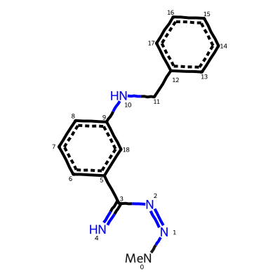 CN/N=N\C(=N)c1cccc(NCc2ccccc2)c1